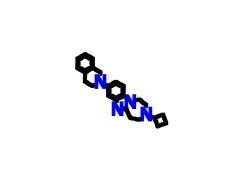 c1ccc2c(c1)CCN(c1ccc3c(c1)nc1n3CCN(C3CCC3)CC1)C2